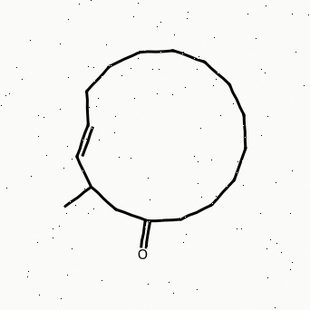 CC1/C=C/CCCCCCCCCCCC(=O)C1